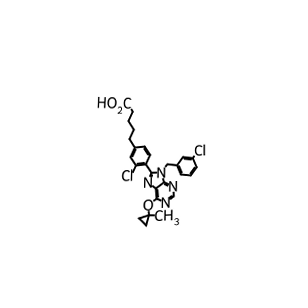 CC1(Oc2ncnc3c2nc(-c2ccc(CCCCC(=O)O)cc2Cl)n3Cc2cccc(Cl)c2)CC1